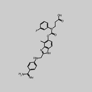 Cc1c(OC(=O)N(CCC(=O)O)c2cccc(F)c2)ccc2[nH]c(CNc3ccc(C(=N)N)cc3)nc12